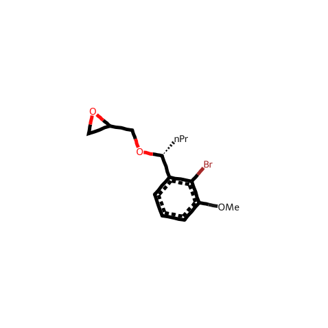 CCC[C@@H](OCC1CO1)c1cccc(OC)c1Br